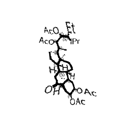 CC[C@@H](C(C)C)[C@H](OC(C)=O)[C@@H](OC(C)=O)[C@@H](C)[C@H]1CC[C@H]2[C@@H]3CC(=O)[C@H]4C[C@H](OC(C)=O)[C@H](OC(C)=O)C[C@]4(C)[C@H]3CC[C@]12C